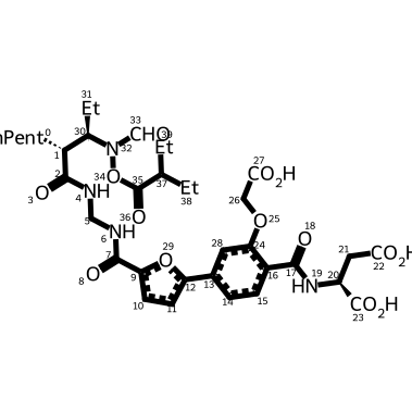 CCCCC[C@@H](C(=O)NCNC(=O)c1ccc(-c2ccc(C(=O)N[C@@H](CC(=O)O)C(=O)O)c(OCC(=O)O)c2)o1)[C@@H](CC)N(C=O)OC(=O)C(CC)CC